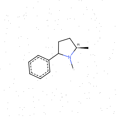 C[C@@H]1CCC(c2ccccc2)N1C